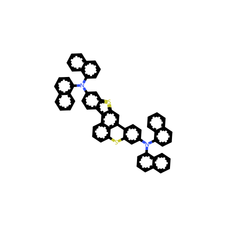 c1ccc2c(N(c3ccc4c(c3)Sc3cccc5c3c-4cc3sc4cc(N(c6cccc7ccccc67)c6cccc7ccccc67)ccc4c35)c3cccc4ccccc34)cccc2c1